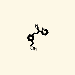 N#CC(CCc1cccc(CCO)c1)c1ccccn1